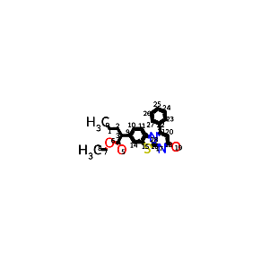 CCCC(C(=O)OCC)c1ccc2c(c1)sc1nc(=O)cc(-c3ccccc3)n12